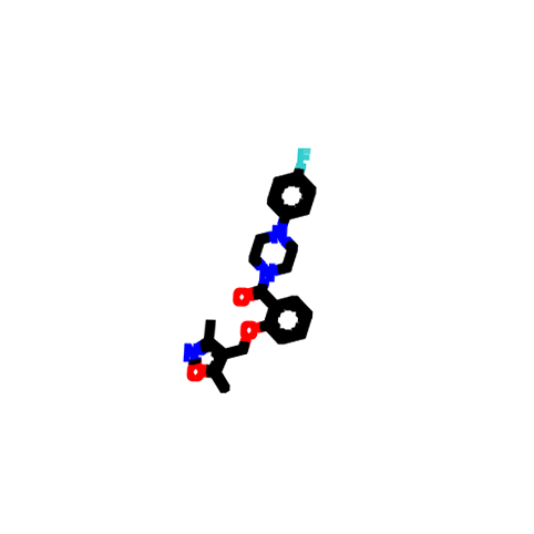 Cc1noc(C)c1COc1ccccc1C(=O)N1CCN(c2ccc(F)cc2)CC1